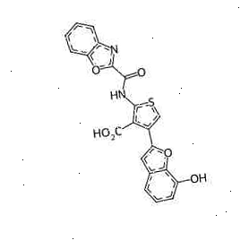 O=C(Nc1scc(-c2cc3cccc(O)c3o2)c1C(=O)O)c1nc2ccccc2o1